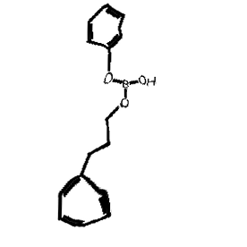 OB(OCCCc1ccccc1)Oc1ccccc1